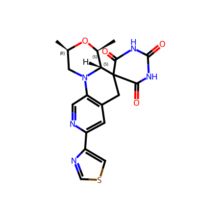 C[C@@H]1CN2c3cnc(-c4cscn4)cc3CC3(C(=O)NC(=O)NC3=O)[C@H]2[C@H](C)O1